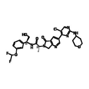 C[C@H](C(=O)N[C@H](CO)c1cccc(OC(F)F)c1)N1Cc2ncc(-c3nc(NC4CCOCC4)ncc3Cl)cc2C1=O